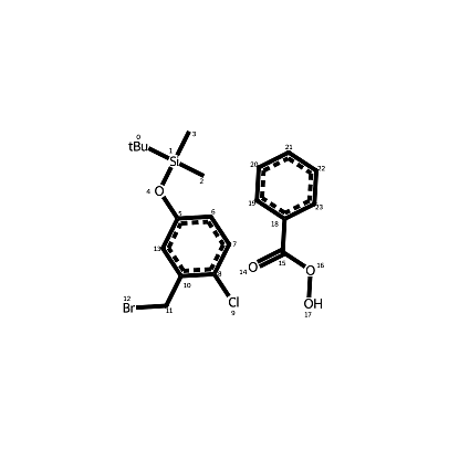 CC(C)(C)[Si](C)(C)Oc1ccc(Cl)c(CBr)c1.O=C(OO)c1ccccc1